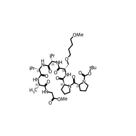 COCCCCOC[C@H](NC(=O)[C@@H]1CCCN1C(=O)[C@@H]1CCCN1C(=O)OC(C)(C)C)C(=O)N[C@H](C(=O)N[C@H](C(=O)N[C@@H](C)C(=O)NCC(=O)OC)C(C)C)C(C)C